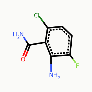 NC(=O)c1c(Cl)ccc(F)c1N